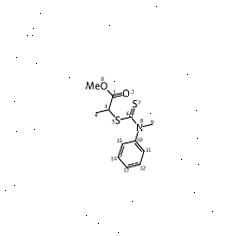 COC(=O)C(C)SC(=S)N(C)c1ccccc1